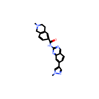 CN1CCc2cc(C(=O)Nc3ncc4ccc(-c5cnn(C)c5)cc4n3)ccc2C1